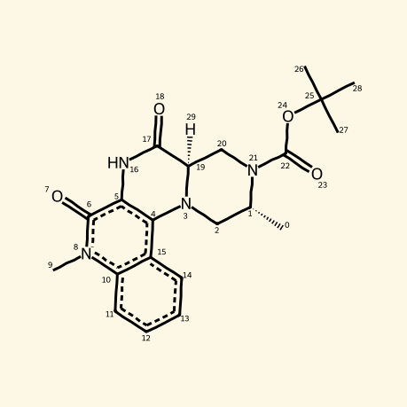 C[C@@H]1CN2c3c(c(=O)n(C)c4ccccc34)NC(=O)[C@H]2CN1C(=O)OC(C)(C)C